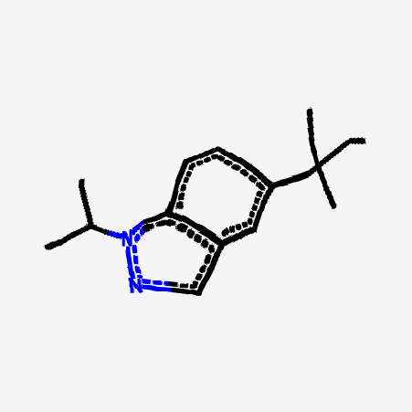 CC(C)n1ncc2cc(C(C)(C)C)ccc21